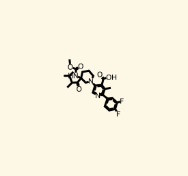 COC(=O)NC1(C(=O)C(C)C(C)C)CCCN(c2cnc(-c3ccc(F)c(F)c3)c(C)c2C(=O)O)C1